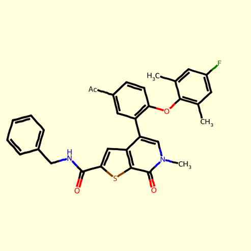 CC(=O)c1ccc(Oc2c(C)cc(F)cc2C)c(-c2cn(C)c(=O)c3sc(C(=O)NCc4ccccc4)cc23)c1